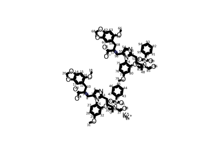 CCCCc1ncc(/C=C(\Cc2cc3c(cc2OC)OCO3)C(=O)[O-])n1-c1ccc(OC)cc1OCN(C=O)S(=O)(=O)c1ccccc1.CCCCc1ncc(/C=C(\Cc2cc3c(cc2OC)OCO3)C(=O)[O-])n1-c1ccc(OC)cc1OCN(C=O)S(=O)(=O)c1ccccc1.[K+].[K+]